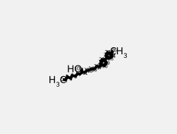 CCCCCCCCC(CO)CCCCCCCc1ccc(-c2ccc(C)cc2)cc1